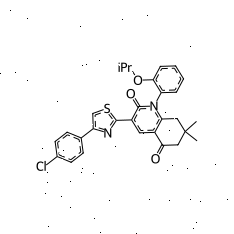 CC(C)Oc1ccccc1-n1c2c(cc(-c3nc(-c4ccc(Cl)cc4)cs3)c1=O)C(=O)CC(C)(C)C2